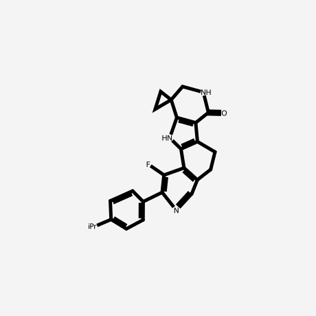 CC(C)c1ccc(-c2ncc3c(c2F)-c2[nH]c4c(c2CC3)C(=O)NCC42CC2)cc1